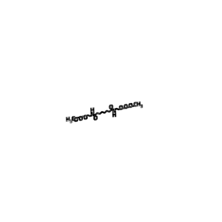 CCOCOCOCCNC(=O)CCCCCCC(=O)NCCOCOCOC